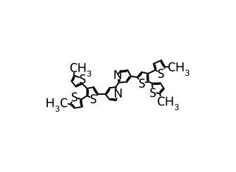 Cc1ccc(-c2cc(-c3ccnc(-c4cc(-c5cc(-c6ccc(C)s6)c(-c6ccc(C)s6)s5)ccn4)c3)sc2-c2ccc(C)s2)s1